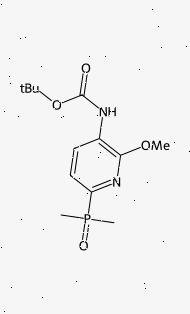 COc1nc(P(C)(C)=O)ccc1NC(=O)OC(C)(C)C